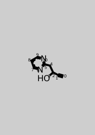 C#CC(O)Cc1ncccn1